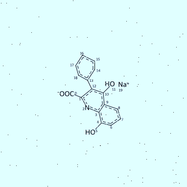 O=C([O-])c1nc2c(O)cccc2c(O)c1-c1ccccc1.[Na+]